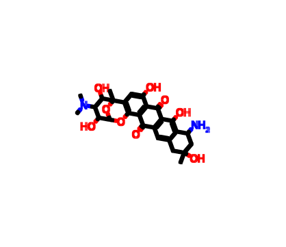 CN(C)C1C(O)C2Oc3c(cc(O)c4c3C(=O)c3cc5c(c(O)c3C4=O)C(N)CC(C)(O)C5)C(C)(O2)C1O